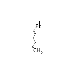 C=CCCC=[CH][Pt][I]